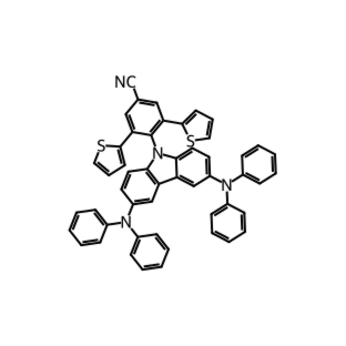 N#Cc1cc(-c2cccs2)c(-n2c3ccc(N(c4ccccc4)c4ccccc4)cc3c3cc(N(c4ccccc4)c4ccccc4)ccc32)c(-c2cccs2)c1